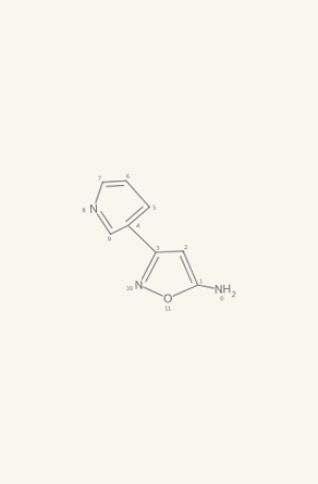 Nc1cc(-c2cccnc2)no1